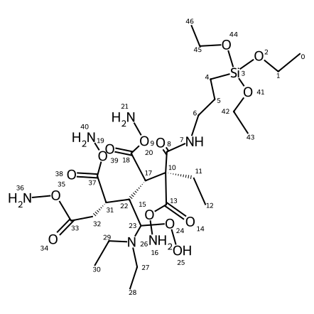 CCO[Si](CCCNC(=O)[C@@](CC)(C(=O)ON)[C@@H](C(=O)ON)C(C(OO)N(CC)CC)[C@H](CC(=O)ON)C(=O)ON)(OCC)OCC